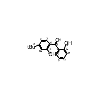 CC(C)(C)c1ccc(C(=O)c2ccccc2O)c(O)c1